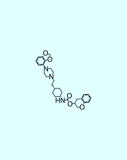 O=C(N[C@H]1CC[C@H](CCN2CCN(c3cccc4c3OCO4)CC2)CC1)OC1COc2ccccc2C1